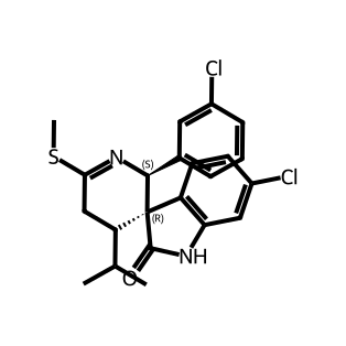 CSC1=N[C@@H](c2cccc(Cl)c2)[C@@]2(C(=O)Nc3cc(Cl)ccc32)C(C(C)C)C1